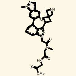 COC(=O)CNC(=O)CN(C)C(=O)Cn1nc(C2CC3(CNC3)C2)c2c(-c3cc4c(cnn4C)cc3C#N)cccc21